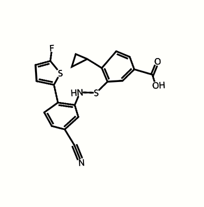 N#Cc1ccc(-c2ccc(F)s2)c(NSc2cc(C(=O)O)ccc2C2CC2)c1